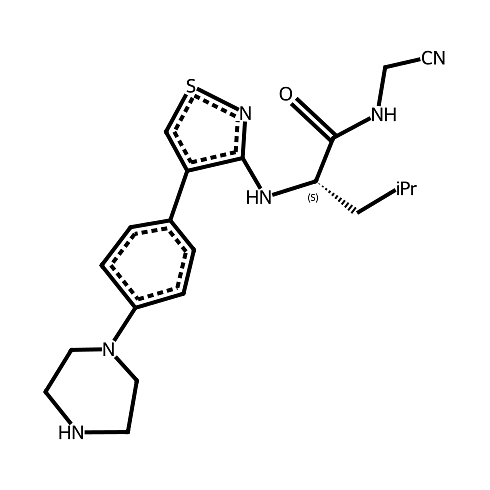 CC(C)C[C@H](Nc1nscc1-c1ccc(N2CCNCC2)cc1)C(=O)NCC#N